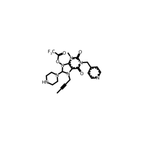 CC#CCN1c2c(n(C)c(=O)n(Cc3ccncc3)c2=O)N(OC(=O)C(F)(F)F)C1N1CCNCC1